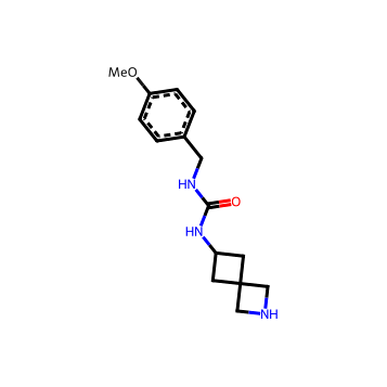 COc1ccc(CNC(=O)NC2CC3(CNC3)C2)cc1